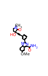 COc1ccc2nc(-c3cccc(C#C[C@]4(O)CCN(C)C4=O)c3)nc(C(N)=O)c2c1